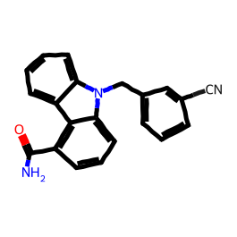 N#Cc1cccc(Cn2c3ccccc3c3c(C(N)=O)cccc32)c1